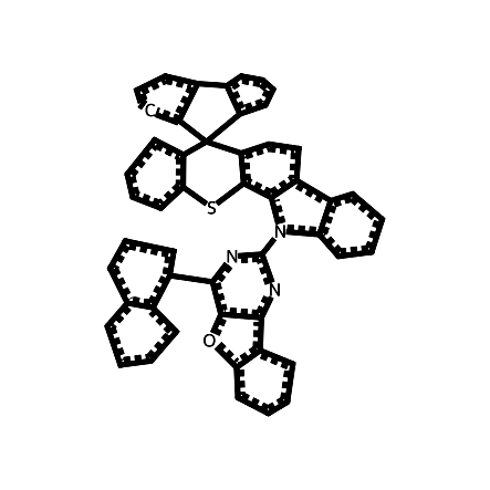 c1ccc2c(c1)Sc1c(ccc3c4ccccc4n(-c4nc(-c5cccc6ccccc56)c5oc6ccccc6c5n4)c13)C21c2ccccc2-c2ccccc21